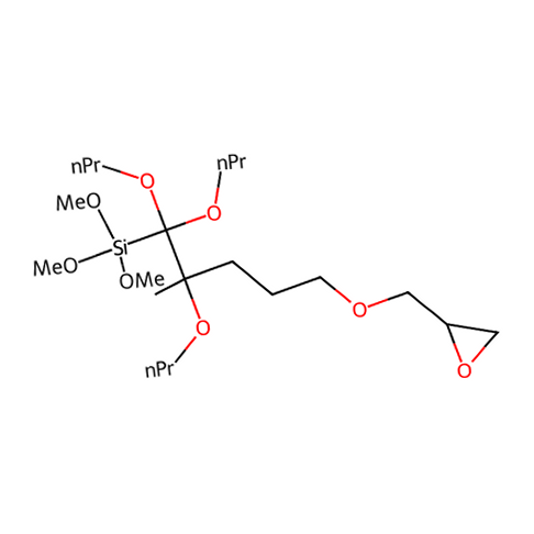 CCCOC(C)(CCCOCC1CO1)C(OCCC)(OCCC)[Si](OC)(OC)OC